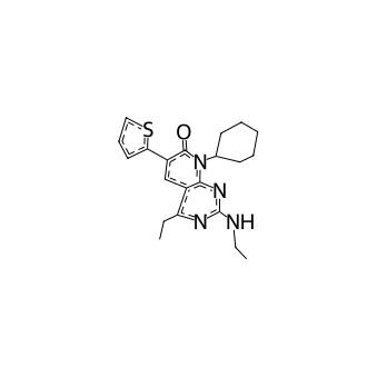 CCNc1nc(CC)c2cc(-c3cccs3)c(=O)n(C3CCCCC3)c2n1